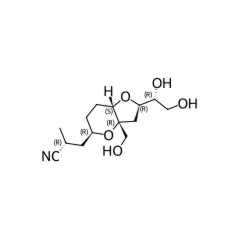 C[C@@H](C#N)C[C@H]1CC[C@@H]2O[C@@H]([C@H](O)CO)C[C@]2(CO)O1